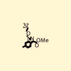 COC(=O)c1nn(COCC[Si](C)(C)C)c2cc(C)ccc12